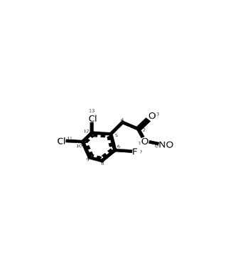 O=NOC(=O)Cc1c(F)ccc(Cl)c1Cl